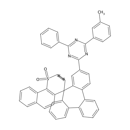 Cc1cccc(-c2nc(-c3ccccc3)nc(-c3ccc4c(c3)C3(c5ccccc5-c5ccccc5-4)c4ccccc4S(=O)(=O)c4c3ccc3ccccc43)n2)c1